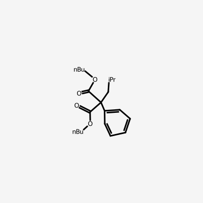 CCCCOC(=O)C(CC(C)C)(C(=O)OCCCC)c1ccccc1